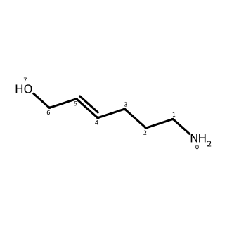 NCCC/C=C/CO